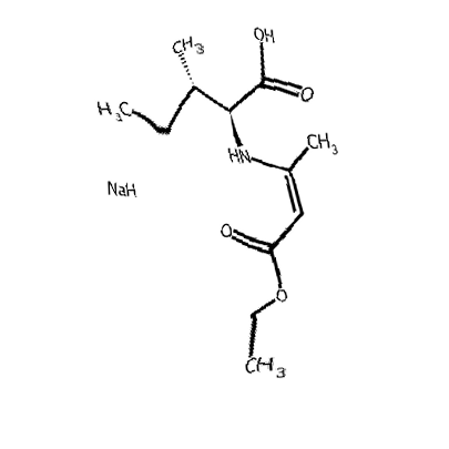 CCOC(=O)C=C(C)N[C@H](C(=O)O)[C@@H](C)CC.[NaH]